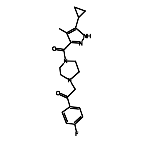 Cc1c(C(=O)N2CCN(CC(=O)c3ccc(F)cc3)CC2)n[nH]c1C1CC1